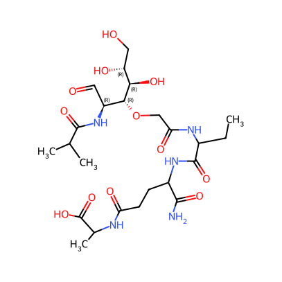 CCC(NC(=O)CO[C@@H]([C@H](O)[C@H](O)CO)[C@H](C=O)NC(=O)C(C)C)C(=O)NC(CCC(=O)NC(C)C(=O)O)C(N)=O